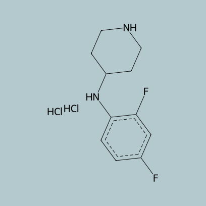 Cl.Cl.Fc1ccc(NC2CCNCC2)c(F)c1